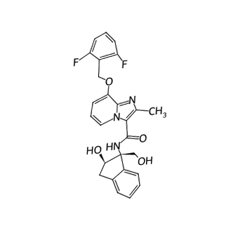 Cc1nc2c(OCc3c(F)cccc3F)cccn2c1C(=O)N[C@]1(CO)c2ccccc2C[C@H]1O